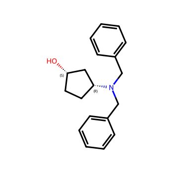 O[C@H]1CC[C@@H](N(Cc2ccccc2)Cc2ccccc2)C1